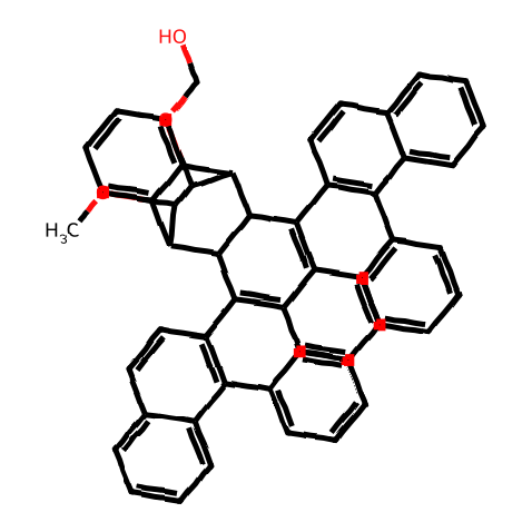 COC1C(OCO)C2c3ccccc3C1C1C(c3ccc4ccccc4c3-c3ccccc3)=c3ccccc3=C(c3ccc4ccccc4c3-c3ccccc3)C12